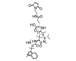 CN[C@H](C(=O)N[C@H](C(=O)N(C)[C@H](/C=C(\C)C(=O)N[C@@H](CCC(=O)NCCN1C(=O)C=CC1=O)C(=O)O)C(C)C)C(C)(C)C)C(C)(C)c1cn(C)c2ccccc12